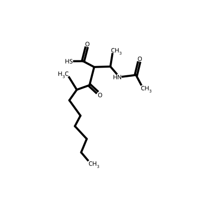 CCCCCCC(C)C(=O)C(C(=O)S)C(C)NC(C)=O